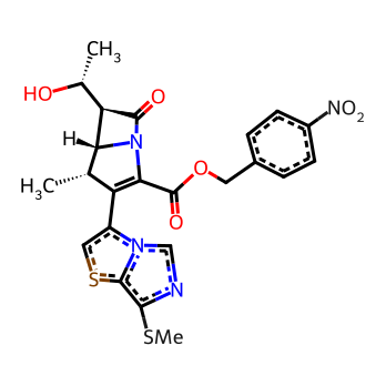 CSc1ncn2c(C3=C(C(=O)OCc4ccc([N+](=O)[O-])cc4)N4C(=O)[C@H]([C@@H](C)O)[C@H]4[C@H]3C)csc12